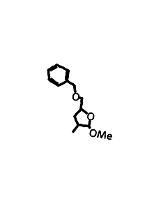 COC1OC(COCc2ccccc2)CC1C